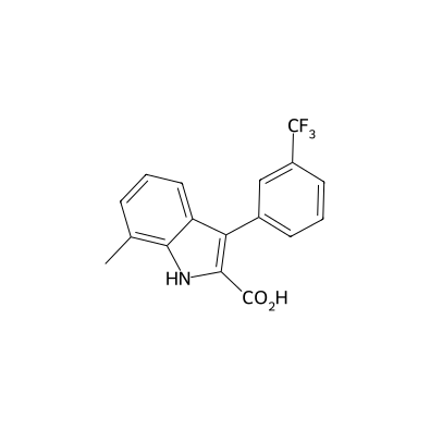 Cc1cccc2c(-c3cccc(C(F)(F)F)c3)c(C(=O)O)[nH]c12